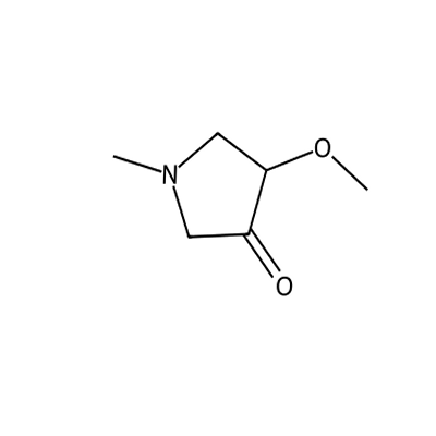 COC1CN(C)CC1=O